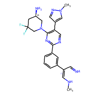 CN/C=C(\C=N)c1cccc(-c2ncc(-c3cnn(C)c3)c(N3C[C@H](N)CC(F)(F)C3)n2)c1